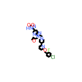 O=c1[nH]c(-c2cnc3c(c2)nc(CN2CCC(c4cccc(OCc5ccc(Cl)cc5F)n4)CC2)n3CC2CCO2)no1